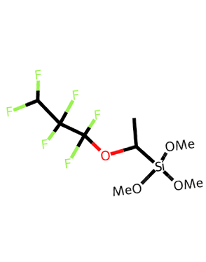 CO[Si](OC)(OC)C(C)OC(F)(F)C(F)(F)C(F)F